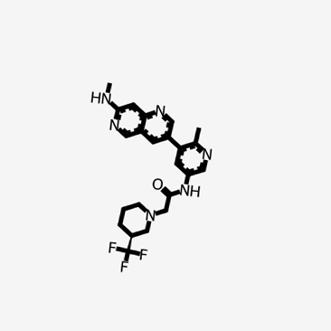 CNc1cc2ncc(-c3cc(NC(=O)CN4CCC[C@H](C(F)(F)F)C4)cnc3C)cc2cn1